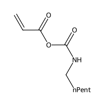 C=CC(=O)OC(=O)NCCCCCC